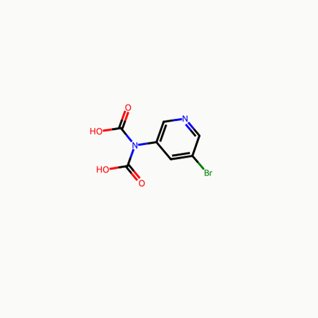 O=C(O)N(C(=O)O)c1cncc(Br)c1